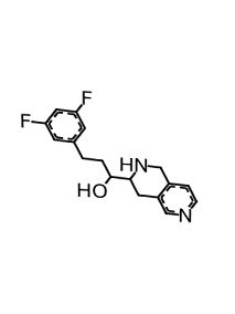 OC(CCc1cc(F)cc(F)c1)C1Cc2cnccc2CN1